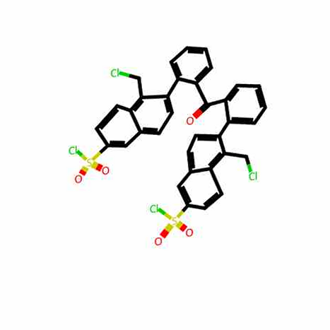 O=C(c1ccccc1-c1ccc2cc(S(=O)(=O)Cl)ccc2c1CCl)c1ccccc1-c1ccc2cc(S(=O)(=O)Cl)ccc2c1CCl